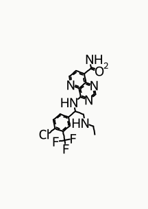 CCNCC(Nc1ncnc2c(C(N)=O)ccnc12)c1ccc(Cl)c(C(F)(F)F)c1